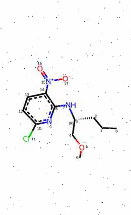 CCC[C@H](COC)Nc1nc(Cl)ccc1[N+](=O)[O-]